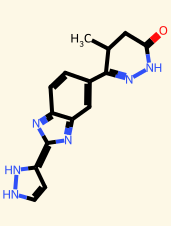 CC1CC(=O)NN=C1c1ccc2c(c1)=N/C(=C1\C=CNN1)N=2